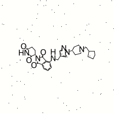 O=C1CCC(N2C(=O)c3cccc(NCc4cnn(C5CCN(CC6CCCC6)CC5)c4)c3C2=O)C(=O)N1